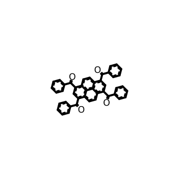 O=C(c1ccccc1)c1cc(C(=O)c2ccccc2)c2ccc3c(C(=O)c4ccccc4)cc(C(=O)c4ccccc4)c4ccc1c2c43